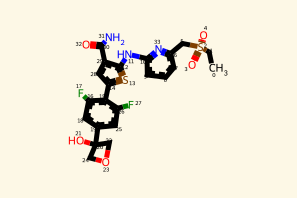 CCS(=O)(=O)Cc1cccc(Nc2sc(-c3c(F)cc(C4(O)COC4)cc3F)cc2C(N)=O)n1